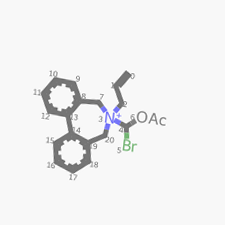 C=CC[N+]1(C(Br)OC(C)=O)Cc2ccccc2-c2ccccc2C1